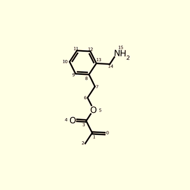 C=C(C)C(=O)OCCc1ccccc1CN